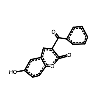 O=C(c1ccccc1)c1cc2cc(O)ccc2oc1=O